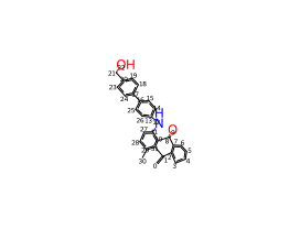 C=C1c2ccccc2C(=O)c2c(Nc3ccc(-c4ccc(CO)cc4)cc3)ccc(C)c21